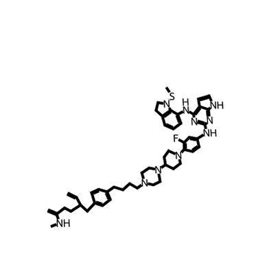 C=CC(CCC(=C)NC)Cc1ccc(CCCCN2CCN(C3CCN(c4ccc(Nc5nc(Nc6cccc7c6N(SC)CC7)c6cc[nH]c6n5)cc4F)CC3)CC2)cc1